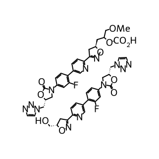 COCC(C[C@@H]1CC(c2ccc(-c3ccc(N4C[C@H](Cn5ccnn5)OC4=O)cc3F)cn2)=NO1)OC(=O)O.O=C1O[C@@H](Cn2ccnn2)CN1c1ccc(-c2ccc(C3=NO[C@H](CO)C3)nc2)c(F)c1